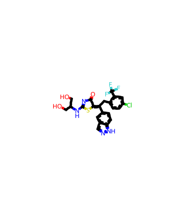 O=C1N=C(NC(CO)CO)SC1=C(Cc1ccc(Cl)cc1C(F)(F)F)c1ccc2[nH]ncc2c1